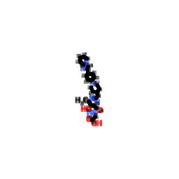 Cc1nc(CC2CCN(c3ccc(-c4cn5ccccc5n4)cc3)CC2)nc(C(=O)NCC(=O)O)c1O